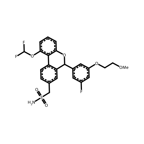 COCCOc1cc(F)cc(C2Oc3cccc(OC(F)F)c3-c3ccc(CS(N)(=O)=O)cc32)c1